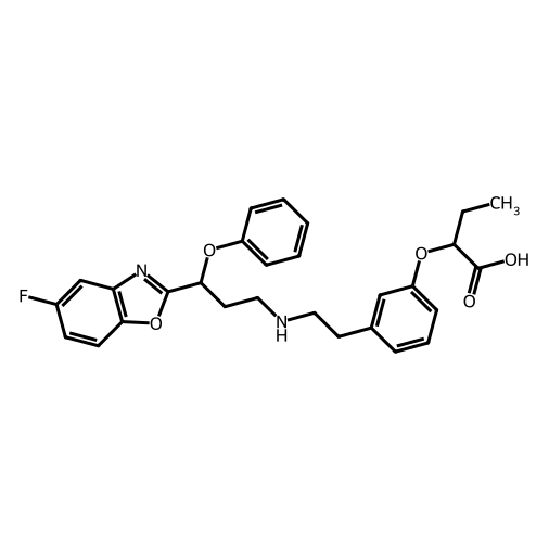 CCC(Oc1cccc(CCNCCC(Oc2ccccc2)c2nc3cc(F)ccc3o2)c1)C(=O)O